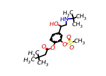 CC(C)(C)CC(=O)Oc1ccc(C(O)CNC(C)(C)C)cc1OS(C)(=O)=O